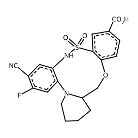 N#Cc1cc2c(cc1F)N1CCCCC1COc1ccc(C(=O)O)cc1S(=O)(=O)N2